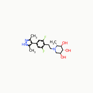 Cc1n[nH]c(C)c1-c1cc(F)c(CCN2C[C@H](O)[C@@H](O)[C@H](O)[C@H]2C)c(F)c1